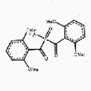 COc1cccc(OC)c1C(=O)P(C)(=O)C(=O)c1c(OC)cccc1OC